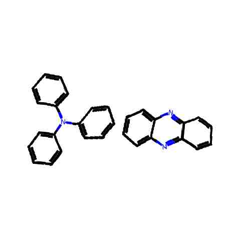 c1ccc(N(c2ccccc2)c2ccccc2)cc1.c1ccc2nc3ccccc3nc2c1